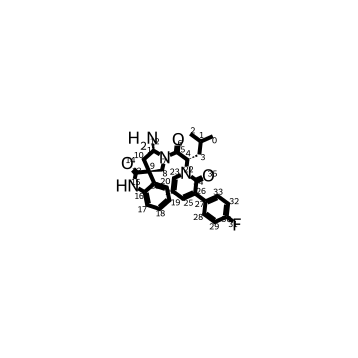 CC(C)C[C@@H](C(=O)N1C[C@]2(C[C@H]1N)C(=O)Nc1ccccc12)n1cccc(-c2ccc(F)cc2)c1=O